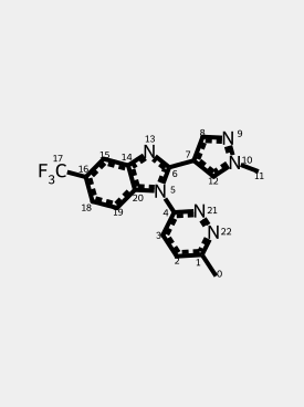 Cc1ccc(-n2c(-c3cnn(C)c3)nc3cc(C(F)(F)F)ccc32)nn1